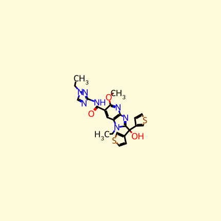 CCn1cnc(NC(=O)c2cc3c(nc2OC)nc(C(O)(c2ccsc2)c2ccsc2)n3CC)n1